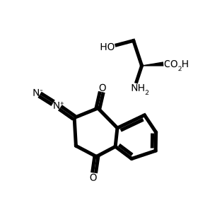 N[C@@H](CO)C(=O)O.[N-]=[N+]=C1CC(=O)c2ccccc2C1=O